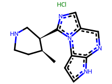 C[C@H]1CCNC[C@H]1c1ncc2cnc3[nH]ccc3n12.Cl